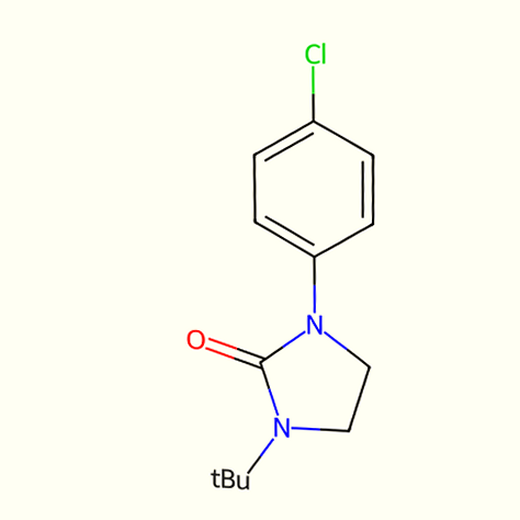 CC(C)(C)N1CCN(c2ccc(Cl)cc2)C1=O